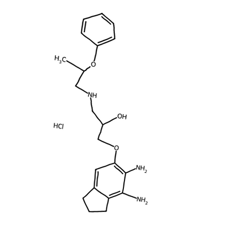 CC(CNCC(O)COc1cc2c(c(N)c1N)CCC2)Oc1ccccc1.Cl